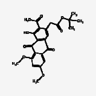 COc1cc(OC)c2c(c1)C(=O)c1cc(CC(=O)OC(C)(C)C)c(C(C)=O)c(O)c1C2=O